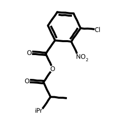 CC(C)C(C)C(=O)OC(=O)c1cccc(Cl)c1[N+](=O)[O-]